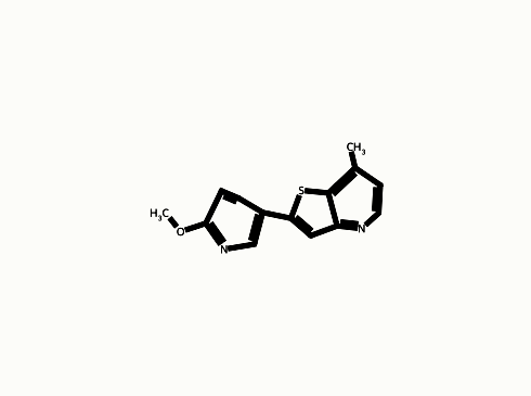 COc1ccc(-c2cc3nccc(C)c3s2)cn1